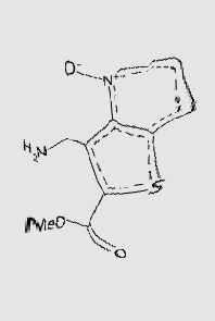 COC(=O)c1sc2ccc[n+]([O-])c2c1N